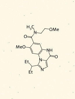 CCC(CC)c1ncc2c(=O)[nH]c3cc(C(=O)N(C)CCOC)c(OC)cc3n12